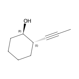 CC#C[C@@H]1CCCC[C@H]1O